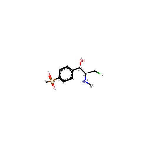 CCN[C@H](CF)[C@H](O)c1ccc(S(C)(=O)=O)cc1